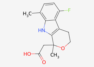 Cc1ccc(F)c2c3c([nH]c12)C(C)(CC(=O)O)OCC3